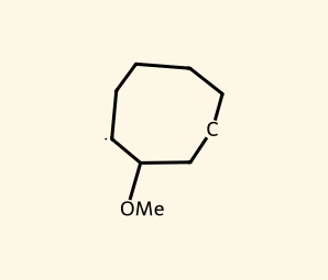 COC1[CH]CCCCCC1